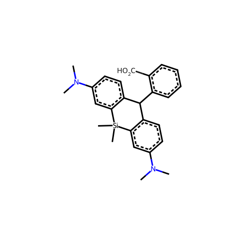 CN(C)c1ccc2c(c1)[Si](C)(C)c1cc(N(C)C)ccc1C2c1ccccc1C(=O)O